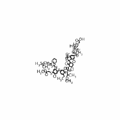 CCc1cccc(C)c1N(C(=O)CCl)C(C)COC.COC(=O)CSc1cc(/N=c2\sc(=O)n3n2CCCC3)c(F)cc1Cl.CS(=O)(=O)c1ccc(C(=O)C2C(=O)CCCC2=O)c([N+](=O)[O-])c1.C[S+](C)C.O=C(O)CNCP(=O)([O-])O